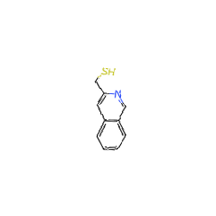 SCc1cc2ccccc2cn1